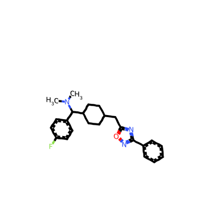 CN(C)C(c1ccc(F)cc1)C1CCC(Cc2nc(-c3ccccc3)no2)CC1